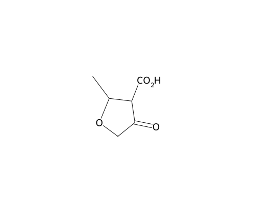 CC1OCC(=O)C1C(=O)O